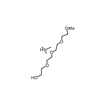 COCCOCCOCCOCCO.C[SiH](C)C